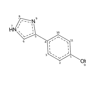 Oc1ccc(-c2c[nH][c]n2)cc1